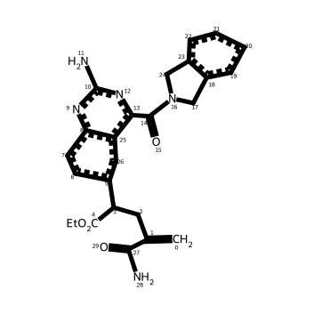 C=C(CC(C(=O)OCC)c1ccc2nc(N)nc(C(=O)N3Cc4ccccc4C3)c2c1)C(N)=O